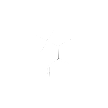 C=CC(=O)C(O)[Si](C)(C)C